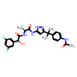 CC(=O)Nc1ccc(C(C)(C)c2cc(NC(=O)[C@H](C)NC(=O)[C@@H](O)c3cc(F)cc(F)c3)[nH]n2)cc1